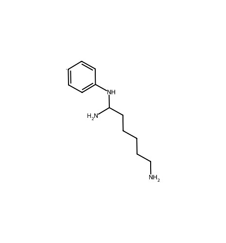 NCCCCCC(N)Nc1cc[c]cc1